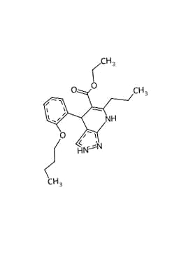 CCCCOc1ccccc1C1C(C(=O)OCC)=C(CCC)Nc2n[nH]cc21